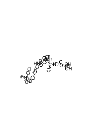 Cc1c(S(C)(=O)=O)c(-c2cccc(N3CCN(c4ccc(NS(=O)(=O)c5ccc(N[C@H](CCN6CCC(C(=O)OCCP(=O)(O)O)CC6)CSc6ccccc6)c(S(=O)(=O)C(F)(F)F)c5)cc4)CC3)c2)c(-c2ccc(Cl)cc2)n1C(C)C